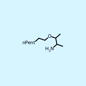 CCCCCCCOC(C)C(C)N